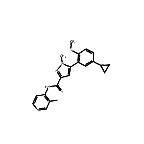 Cn1nc(C(=O)Nc2ccncc2F)cc1-c1cc(C2CC2)ccc1OC(F)(F)F